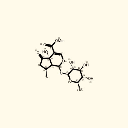 CC[C@H]1O[C@@H](O[C@@H]2OC=C(C(=O)OC)[C@]3(O)C(=O)C[C@H](C)C23)[C@H](O)[C@@H](O)[C@@H]1O